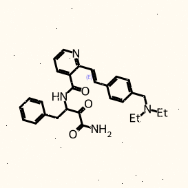 CCN(CC)Cc1ccc(/C=C/c2ncccc2C(=O)NC(Cc2ccccc2)C(=O)C(N)=O)cc1